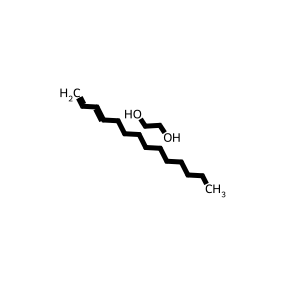 C=C/C=C/CCCCCCCCCC.OCCO